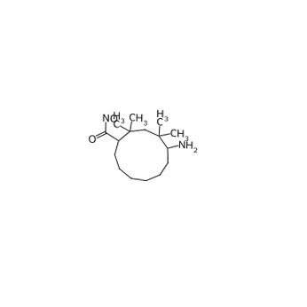 CC1(C)CC(C)(C)C(C(=O)N=O)CCCCCCC1N